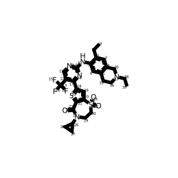 CCc1cc2c(cc1Nc1ncc(C(F)(F)F)c(-c3cc4c(s3)C(=O)N(C3CC3)CCS4(=O)=O)n1)CCN(CC)C2